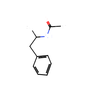 CCC(=O)NC(Cc1ccccc1)C(C)=O